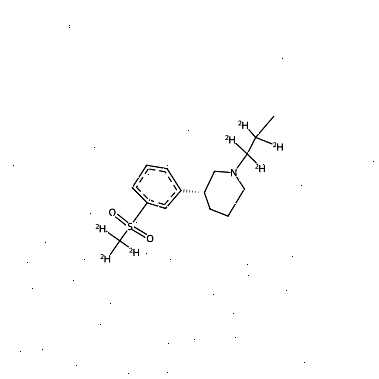 [2H]C([2H])(C)C([2H])([2H])N1CCC[C@H](c2cccc(S(=O)(=O)C([2H])([2H])[2H])c2)C1